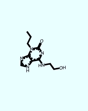 CCCn1c(=O)nc(NCCO)c2[nH]cnc21